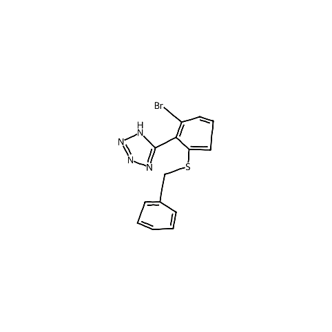 Brc1cccc(SCc2ccccc2)c1-c1nnn[nH]1